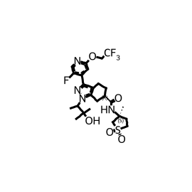 CC(n1nc(-c2cc(OCC(F)(F)F)ncc2F)c2c1C[C@H](C(=O)N[C@@]1(C)CCS(=O)(=O)C1)CC2)C(C)(C)O